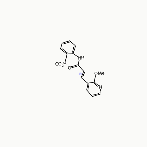 COc1ncccc1/C=C/C(=O)Nc1ccccc1C(=O)O